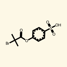 CC(C)(Br)C(=O)Oc1ccc(S(=O)(=O)O)cc1